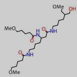 COCCCCC(=O)NCCCCC(CC(=O)NCCCCC(CO)COC)NC(=O)CCCCOC